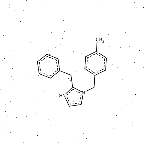 Cc1ccc(C[n+]2cc[nH]c2Cc2ccccc2)cc1